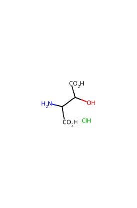 Cl.NC(C(=O)O)C(O)C(=O)O